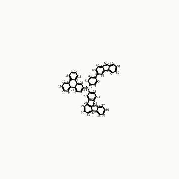 C1=CC(N(c2ccc3c4ccccc4c4ccccc4c3c2)c2ccc3c(c2)c2cccc4c5ccccc5n3c42)CC=C1c1ccc2sc3ccccc3c2c1